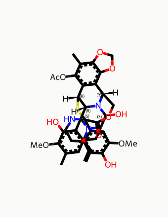 C=CCN1C2c3c(cc(C)c(OC)c3O)CC1[C@H](O)N1[C@H]2[C@@H]2S[C@]3(NCCc4cc(O)c(OC)cc43)C(=O)OC[C@H]1c1c3c(c(C)c(OC(C)=O)c12)OCO3